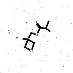 CC(C)C(=O)OCC1(C)COC1